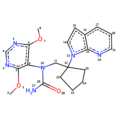 COc1ncnc(OC)c1N(CC1(n2ccc3cccnc32)CCCC1)C(N)=O